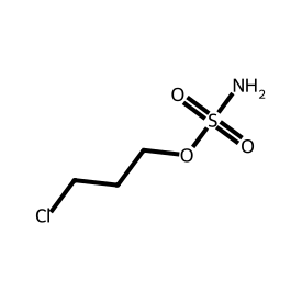 NS(=O)(=O)OCCCCl